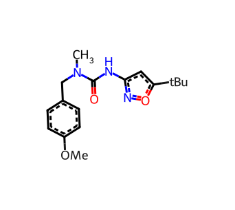 COc1ccc(CN(C)C(=O)Nc2cc(C(C)(C)C)on2)cc1